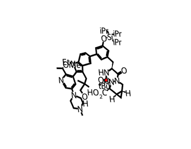 CCn1c(-c2cc(N3CCN(C)CC3)cnc2[C@H](C)OC)c(CC(C)(C)CO)c2cc(-c3cc(C[C@H](NC(=O)OC(C)(C)C)C(=O)N4C[C@@H]5C[C@@H]5[C@@H](C(=O)O)N4)cc(O[Si](C(C)C)(C(C)C)C(C)C)c3)ccc21